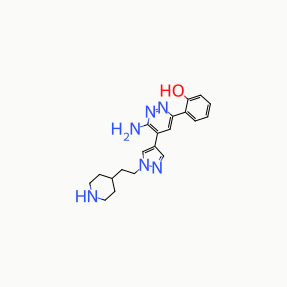 Nc1nnc(-c2ccccc2O)cc1-c1cnn(CCC2CCNCC2)c1